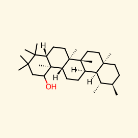 C[C@@H]1[C@H]2[C@H]3CC[C@@H]4[C@@]5(C)C(O)CC(C)(C)C(C)(C)[C@@H]5CC[C@@]4(C)[C@]3(C)CC[C@@]2(C)CC[C@H]1C